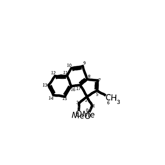 COCC1(COC)C(C)=Cc2ccc3ccccc3c21